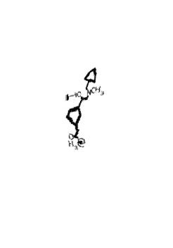 COC(=O)Cc1cccc(C(O)CN(C)Cc2ccccc2)c1